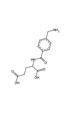 NCc1ccc(C(=O)NC(CCC(=O)O)C(=O)O)cc1